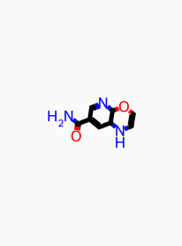 NC(=O)C1=CC2NC=COC2N=C1